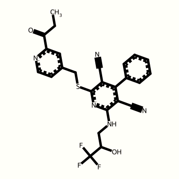 CCC(=O)c1cc(CSc2nc(NCC(O)C(F)(F)F)c(C#N)c(-c3ccccc3)c2C#N)ccn1